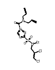 C=CCN(CC=C)C(=O)n1cnc(S(=O)(=O)N(CC)CC(Cl)=CCl)n1